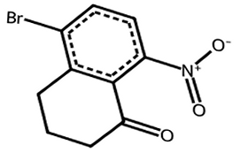 O=C1CCCc2c(Br)ccc([N+](=O)[O-])c21